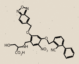 N#Cc1c(COc2cc(OCc3ccc4nonc4c3)c(CNC(CO)C(=O)O)cc2[N+](=O)[O-])cccc1-c1ccccc1